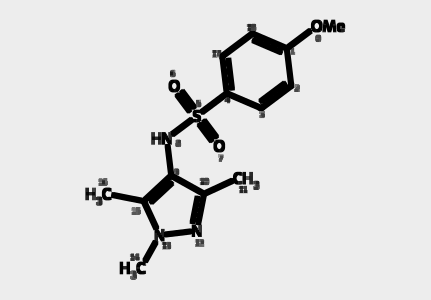 COc1ccc(S(=O)(=O)Nc2c(C)nn(C)c2C)cc1